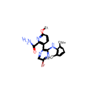 CCOc1ccc(-c2ncc(Br)nc2Nc2c(OC)cccc2OC)c(C(N)=O)n1